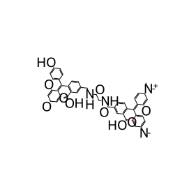 CN(C)c1ccc2c(-c3ccc(C(=O)NCC(=O)NCc4ccc(-c5c6ccc(=O)cc-6oc6cc(O)ccc56)c(C(=O)O)c4)cc3C(=O)O)c3ccc(=[N+](C)C)cc-3oc2c1